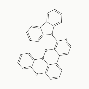 c1ccc2c(c1)Oc1cccc3c1B2Oc1c-3ccnc1-n1c2ccccc2c2ccccc21